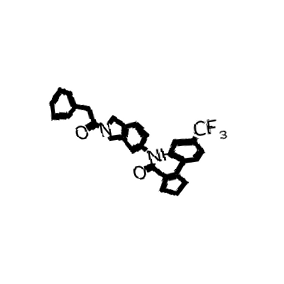 O=C(Nc1ccc2c(c1)CN(C(=O)Cc1ccccc1)C2)C1=C(c2ccc(C(F)(F)F)cc2)CCC1